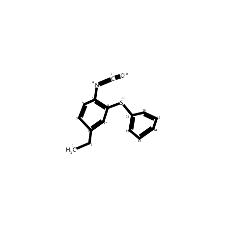 CCc1ccc(N=C=O)c(Sc2ccccc2)c1